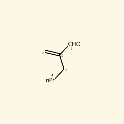 C=C([C]=O)CCCC